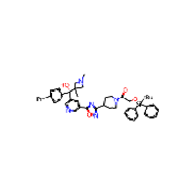 CC(C)c1ccc([C@](O)(c2cncc(-c3nc(C4CCN(C(=O)CO[Si](c5ccccc5)(c5ccccc5)C(C)(C)C)CC4)no3)c2)C2(C)CN(C)C2)cc1